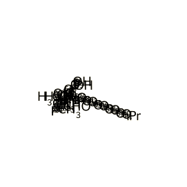 CC1=C(/C(=C\NC=O)c2cc(C(C)(C)O)ccc2Oc2c(C)cc(F)cc2C)CC(C(=O)Nc2ccc(OCCOCCOCCOCCOCCOCCOCCOCCOC(C)C)cc2)N1COC(=O)CCCOP(O)O